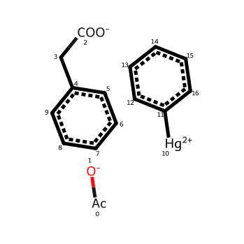 CC(=O)[O-].O=C([O-])Cc1ccccc1.[Hg+2][c]1ccccc1